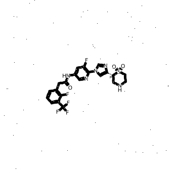 O=C(Cc1cccc(C(F)(F)F)c1F)Nc1cnc(-n2cnc([C@H]3CNCCS3(=O)=O)c2)c(F)c1